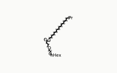 CCCCCCOCCOCCCC(=O)OCCCCCCCCCCCCCCCC(C)C